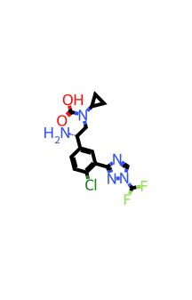 N[C@H](CN(C(=O)O)C1CC1)c1ccc(Cl)c(-c2ncn(C(F)F)n2)c1